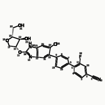 N#Cc1ccc(-c2ccc(-c3cc4nc(O[C@@H]5CO[C@H](CO)[C@H]5O)[nH]c4cc3Cl)cc2)c(F)c1